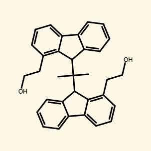 CC(C)(C1c2ccccc2-c2cccc(CCO)c21)C1c2ccccc2-c2cccc(CCO)c21